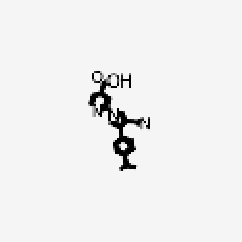 CC(C)c1ccc(-c2cn(-c3cc(C(=O)O)ccn3)cc2C#N)cc1